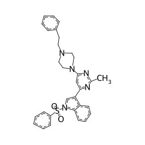 Cc1nc(-c2cn(S(=O)(=O)c3ccccc3)c3ccccc23)cc(N2CCN(CCc3ccccc3)CC2)n1